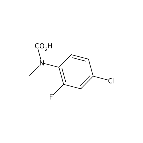 CN(C(=O)O)c1ccc(Cl)cc1F